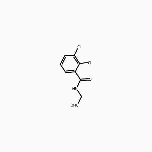 O=[C]CNC(=O)c1cccc(Cl)c1Cl